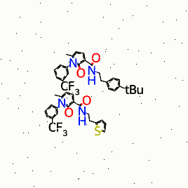 Cc1ccc(C(=O)NCCc2ccc(C(C)(C)C)cc2)c(=O)n1-c1cccc(C(F)(F)F)c1.Cc1ccc(C(=O)NCCc2cccs2)c(=O)n1-c1cccc(C(F)(F)F)c1